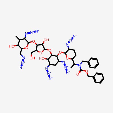 CC1C(O)C(CN=[N+]=[N-])OC(OC2C(CO)OC(OC3C(O)C(N=[N+]=[N-])CC(N=[N+]=[N-])C3OC3OC(C(C)N(Cc4ccccc4)C(=O)OCc4ccccc4)CCC3N=[N+]=[N-])C2O)C1N=[N+]=[N-]